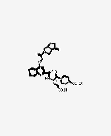 CCOC(=O)N1CCN(C(=O)[C@H](CCC(=O)O)NC(=O)c2cc(OCC(=O)N3CC4CCC(=O)C4C3)c3ccccc3n2)CC1